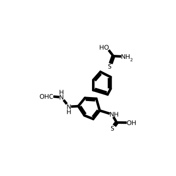 NC(O)=S.O=CNNc1ccc(NC(O)=S)cc1.c1ccccc1